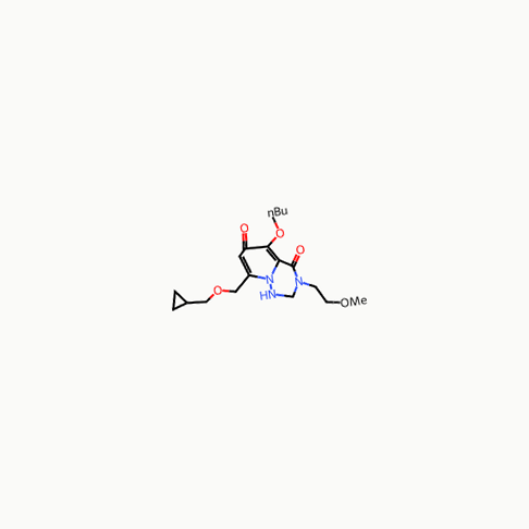 CCCCOc1c2n(c(COCC3CC3)cc1=O)NCN(CCOC)C2=O